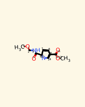 COCNC(=O)c1ccc(C(=O)OC)cn1